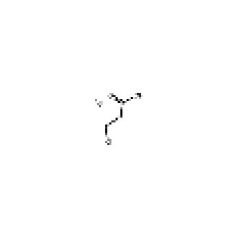 O=C(O)CCCl.[Ag]